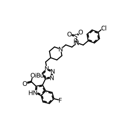 CC(C)COC(=O)c1[nH]c2ccc(F)cc2c1-c1cn(CC2CCN(CCN(Cc3ccc(Cl)cc3)[SH](=O)=O)CC2)nn1